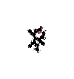 O=c1cc(-c2cn(COP(=O)(OCn3cc(-c4ccn(Cc5cc(F)cc(Br)c5)c(=O)c4)c4cc(N5CCOCC5)cnc43)OCn3cc(-c4ccn(Cc5cc(F)cc(Br)c5)c(=O)c4)c4cc(N5CCOCC5)cnc43)c3ncc(N4CCOCC4)cc23)ccn1Cc1cc(F)cc(Br)c1